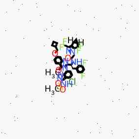 Cn1nc(NS(C)(=O)=O)c2c(Cl)ccc(-n3c([C@H](Cc4cc(F)cc(F)c4)NC(=O)Cn4nc(C(F)F)c5c4C(F)(F)[C@@H]4C[C@H]54)nc4cc(OCC5CCC5)ccc4c3=O)c21